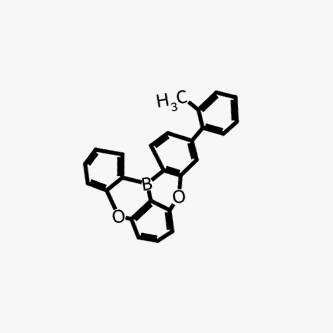 Cc1ccccc1-c1ccc2c(c1)Oc1cccc3c1B2c1ccccc1O3